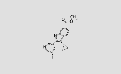 COC(=O)c1ccc2c(c1)nc(-c1cncc(F)c1)n2C1CC1